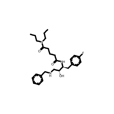 CCCN(CCC)C(=O)CCCC(=O)N[C@@H](Cc1ccc(F)cc1)[C@H](O)CNCc1ccccc1